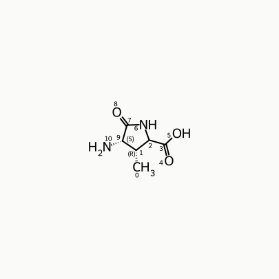 C[C@H]1C(C(=O)O)NC(=O)[C@H]1N